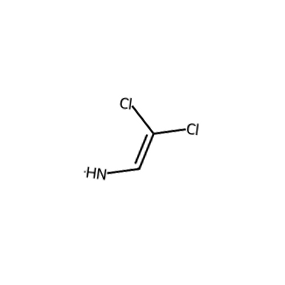 [NH]C=C(Cl)Cl